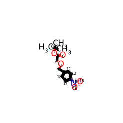 CC(C)(C)OC(=O)COCc1ccc([N+](=O)[O-])cc1